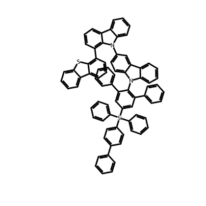 c1ccc(-c2ccc([Si](c3ccccc3)(c3ccccc3)c3cc(-c4ccccc4)c(-n4c5ccccc5c5cc(-n6c7ccccc7c7cccc(-c8cccc9c8sc8ccccc89)c76)ccc54)c(-c4ccccc4)c3)cc2)cc1